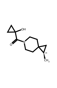 C[C@@H]1CC12CCN(C(=O)C1(O)CC1)CC2